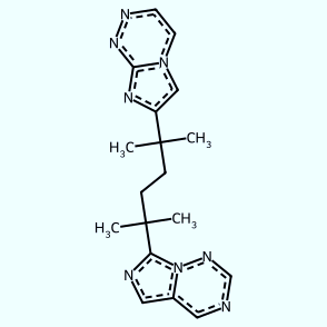 CC(C)(CCC(C)(C)c1ncc2cncnn12)c1cn2ccnnc2n1